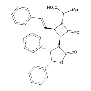 CC(C)(C)C(C(=O)O)N1C(=O)[C@@H](N2C(=O)O[C@H](c3ccccc3)[C@@H]2c2ccccc2)[C@H]1C=Cc1ccccc1